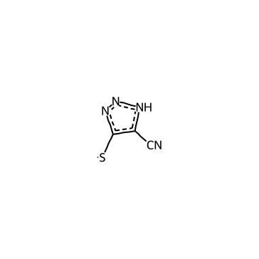 N#Cc1[nH]nnc1[S]